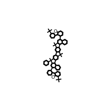 CC(C)(C)c1cccc2c1oc1cccc(-c3cc4c(c5ccccc35)-c3cc5c(cc3C4(C)C)-c3cc4c(cc3C5(C)C)-c3c(cc(-c5cccc6oc7c(C(C)(C)C)cccc7c56)c5ccccc35)C4(C)c3ccccc3)c12